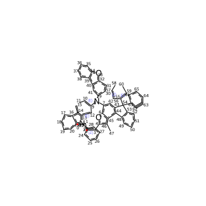 C=C/C=C\c1oc2c(N(C(=C/C)/C=c3\c(=C)c4ccccc4n3-c3ccccc3)c3ccc4oc5ccccc5c4c3)cc3c(c2c1C)-c1ccccc1C3(C(/C=C\C)=C/C)c1c#cccc1